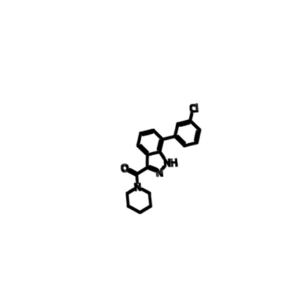 O=C(c1n[nH]c2c(-c3cccc(Cl)c3)cccc12)N1CCCCC1